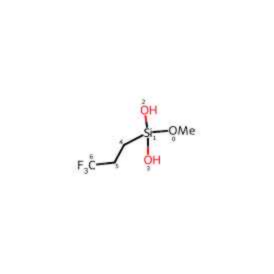 CO[Si](O)(O)CCC(F)(F)F